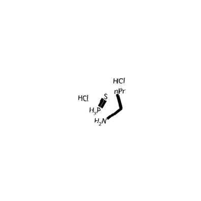 CCCCN.Cl.Cl.[PH3]=S